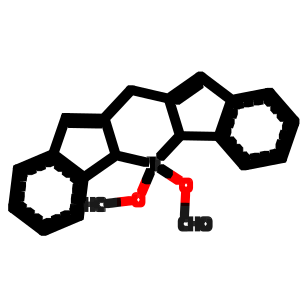 O=C[O][Ti]1([O]C=O)[CH]2C(=Cc3ccccc32)CC2=Cc3ccccc3[CH]21